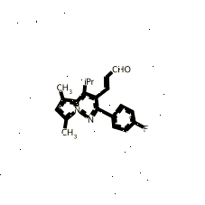 Cc1cc(C)n2nc(-c3ccc(F)cc3)c(C=CC=O)c(C(C)C)c12